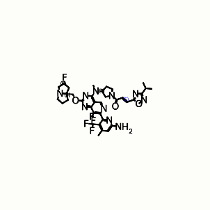 Cc1cc(N)nc(-c2ncc3c(N(C)[C@@H]4CCN(C(=O)/C=C/c5nc(C(C)C)no5)C4)nc(OC[C@@]45CCCN4C[C@H](F)C5)nc3c2F)c1C(F)(F)F